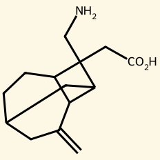 C=C1CC2CCC3C1C(C2)C3(CN)CC(=O)O